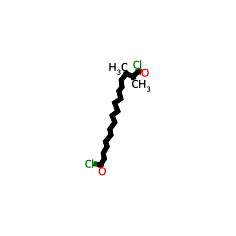 CC(CCCCCCCCCCCCCCC(=O)Cl)C(C)C(=O)Cl